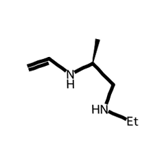 C=CN[C@@H](C)CNCC